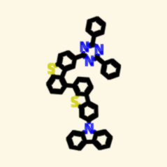 c1ccc(-c2nc(-c3ccccc3)nc(-c3ccc4sc5cccc(-c6cccc7c6sc6cc(-n8c9ccccc9c9ccccc98)ccc67)c5c4c3)n2)cc1